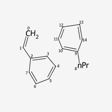 C=Cc1ccccc1.CCCc1ccccc1